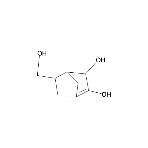 OCC1CC2=C(O)C(O)C1C2